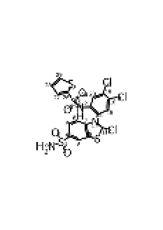 NS(=O)(=O)c1ccc2c(c1)SC(Cl)N2c1cc(Cl)c(Cl)cc1NS(=O)(=O)c1cccs1